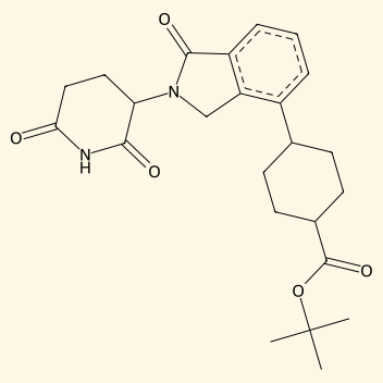 CC(C)(C)OC(=O)C1CCC(c2cccc3c2CN(C2CCC(=O)NC2=O)C3=O)CC1